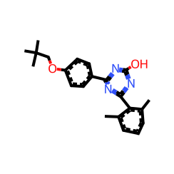 Cc1cccc(C)c1-c1nc(O)nc(-c2ccc(OCC(C)(C)C)cc2)n1